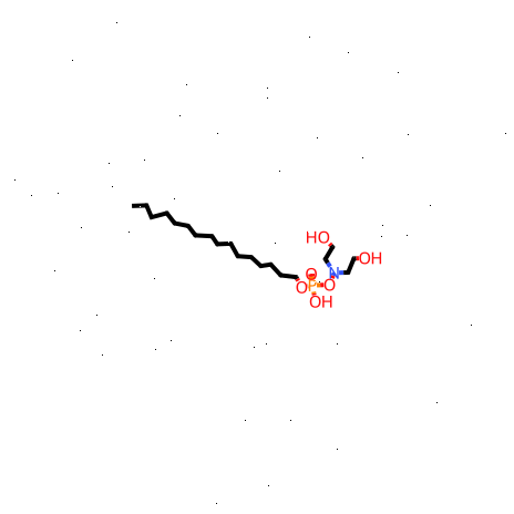 CCCCCCCCCCCCCCCCOP(=O)(O)ON(CCO)CCO